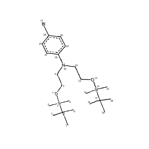 CC(C)(C)[Si](C)(C)OCCN(CCO[Si](C)(C)C(C)(C)C)c1ccc(Br)cc1